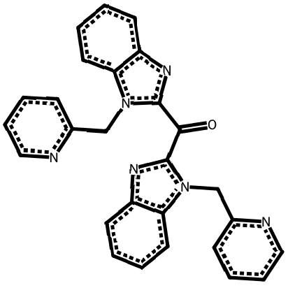 O=C(c1nc2ccccc2n1Cc1ccccn1)c1nc2ccccc2n1Cc1ccccn1